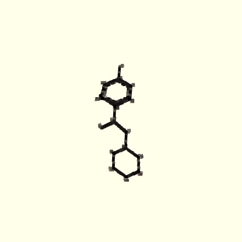 Cc1ccc(C(C)CC2CCCCC2)nc1